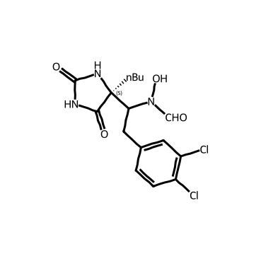 CCCC[C@@]1(C(Cc2ccc(Cl)c(Cl)c2)N(O)C=O)NC(=O)NC1=O